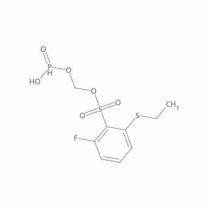 CCSc1cccc(F)c1S(=O)(=O)OCO[PH](=O)O